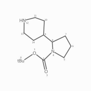 CC(C)(C)OC(=O)N1CCCC1C1CCNCC1